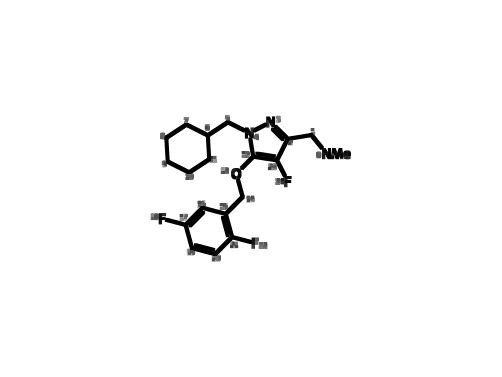 CNCc1nn(CC2CCCCC2)c(OCc2cc(F)ccc2F)c1F